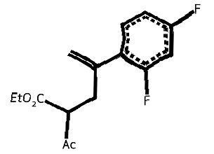 C=C(CC(C(C)=O)C(=O)OCC)c1ccc(F)cc1F